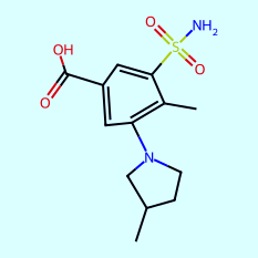 Cc1c(N2CCC(C)C2)cc(C(=O)O)cc1S(N)(=O)=O